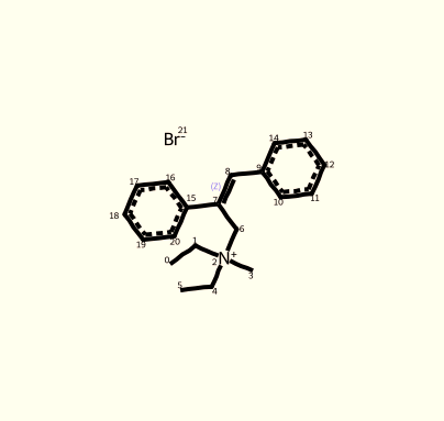 CC[N+](C)(CC)C/C(=C\c1ccccc1)c1ccccc1.[Br-]